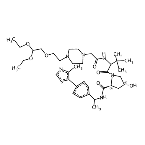 CCOC(COCCN1CCN(CC(=O)NC(C(=O)N2C[C@H](O)C[C@H]2C(=O)NC(C)c2ccc(-c3scnc3C)cc2)C(C)(C)C)CC1)OCC